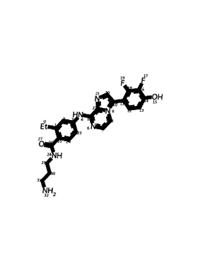 CCc1cc(Nc2nccn3c(-c4ccc(O)c(F)c4F)cnc23)ccc1C(=O)NCCCN